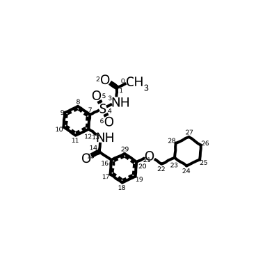 CC(=O)NS(=O)(=O)c1ccccc1NC(=O)c1cccc(OCC2CCCCC2)c1